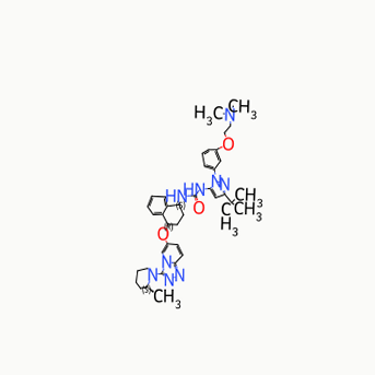 C[C@H]1CCCCN1c1nnc2ccc(O[C@@H]3CC[C@H](NC(=O)Nc4cc(C(C)(C)C)nn4-c4cccc(OCCN(C)C)c4)c4ccccc43)cn12